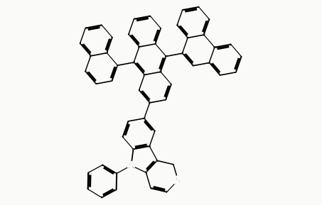 C1=Cc2c(c3cc(-c4ccc5c(-c6cc7ccccc7c7ccccc67)c6ccccc6c(-c6cccc7ccccc67)c5c4)ccc3n2-c2ccccc2)CN1